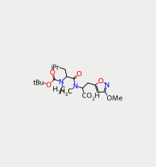 COc1cc(CC(C(=O)O)N(C)C(=O)C(CC(C)C)N(C)C(=O)OC(C)(C)C)on1